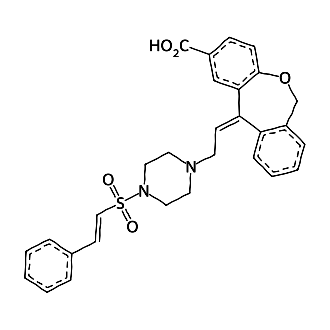 O=C(O)c1ccc2c(c1)/C(=C/CN1CCN(S(=O)(=O)/C=C/c3ccccc3)CC1)c1ccccc1CO2